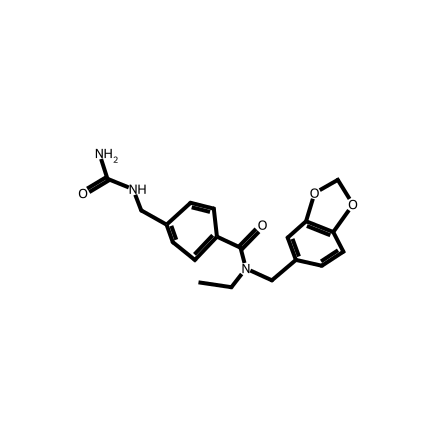 CCN(Cc1ccc2c(c1)OCO2)C(=O)c1ccc(CNC(N)=O)cc1